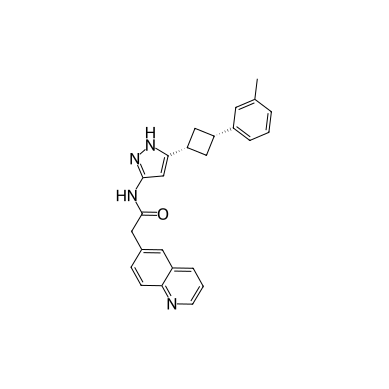 Cc1cccc([C@H]2C[C@@H](c3cc(NC(=O)Cc4ccc5ncccc5c4)n[nH]3)C2)c1